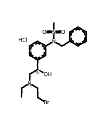 CCN(CCBr)C[C@H](O)c1cccc(N(Cc2ccccc2)S(C)(=O)=O)c1.Cl